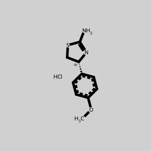 COc1ccc([C@@H]2CSC(N)=N2)cc1.Cl